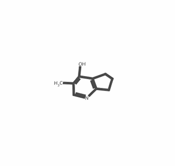 Cc1cnc2c(c1O)CCC2